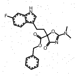 CN(C)C1=NC(=O)C(CCc2c[nH]c3cc(F)ccc23)(C(=O)OCc2ccccc2)O1